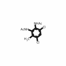 CC(=O)Nc1c(Cl)cc(Cl)c(C)c1NC(C)=O